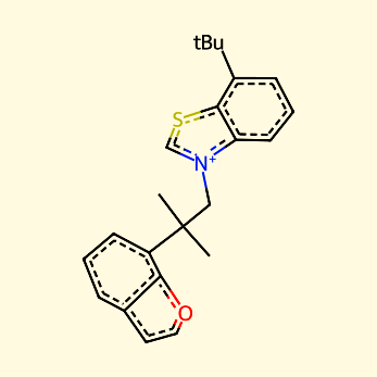 CC(C)(C)c1cccc2c1sc[n+]2CC(C)(C)c1cccc2ccoc12